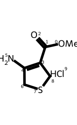 COC(=O)C1=C(N)CSC1.Cl